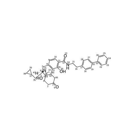 O=C1CC[C@@]2(O)[C@H]3Cc4ccc(C(=O)NCCc5ccc(-c6ccccc6)cc5)c(O)c4[C@@]2(CCN3CC2CC2)C1